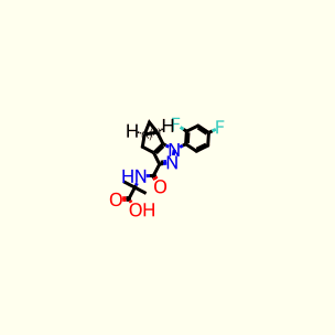 CC(C)(NC(=O)c1nn(-c2ccc(F)cc2F)c2c1C[C@H]1C[C@@H]21)C(=O)O